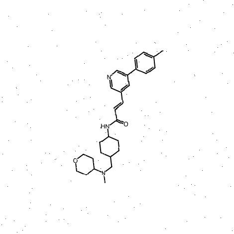 Cc1ccc(-c2cncc(C=CC(=O)NC3CCC(CN(C)C4CCOCC4)CC3)c2)cc1